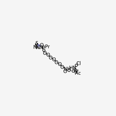 CCC[C@@H](NC(=O)/C(C#N)=C/c1nccs1)c1ccc(OCCOCCOCCOCCOCCOCCOCCNC(=O)c2ccc(-c3ccc4c(c3)[C@H](Nc3ccc(Cl)cc3)C[C@H](C)N4C(C)=O)cc2)cc1